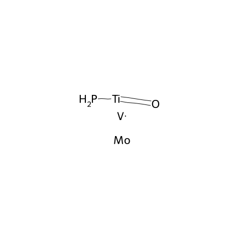 [Mo].[O]=[Ti][PH2].[V]